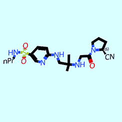 CCCNS(=O)(=O)c1ccc(NCC(C)(C)NCC(=O)N2CCC[C@H]2C#N)nc1